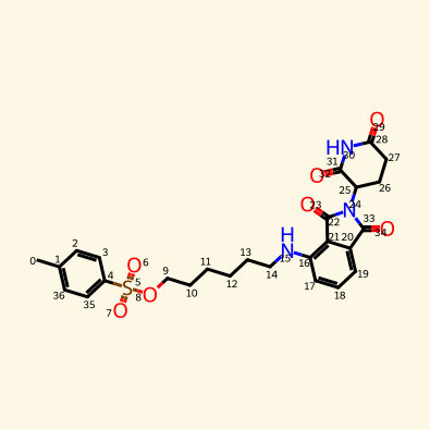 Cc1ccc(S(=O)(=O)OCCCCCCNc2cccc3c2C(=O)N(C2CCC(=O)NC2=O)C3=O)cc1